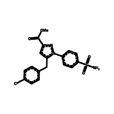 COC(=O)c1cc(Cc2ccc(Cl)cc2)n(-c2ccc(S(N)(=O)=O)cc2)n1